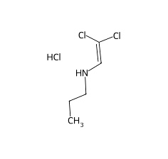 CCCNC=C(Cl)Cl.Cl